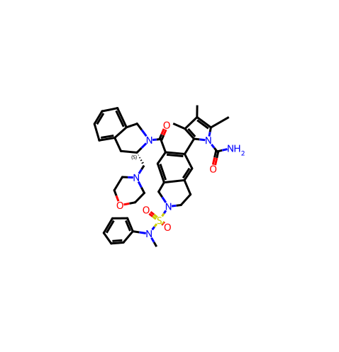 Cc1c(C)c(-c2cc3c(cc2C(=O)N2Cc4ccccc4C[C@H]2CN2CCOCC2)CN(S(=O)(=O)N(C)c2ccccc2)CC3)n(C(N)=O)c1C